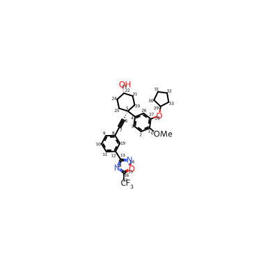 COc1ccc([C@]2(C#Cc3cccc(-c4noc(C(F)(F)F)n4)c3)CC[C@@H](O)CC2)cc1OC1CCCC1